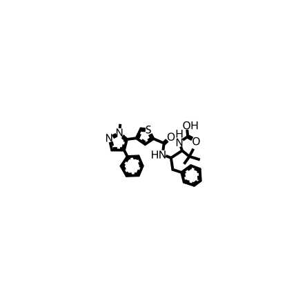 Cn1ncc(-c2ccccc2)c1-c1csc(C(=O)NC(Cc2ccccc2)C(NC(=O)O)C(C)(C)C)c1